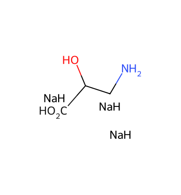 NCC(O)C(=O)O.[NaH].[NaH].[NaH]